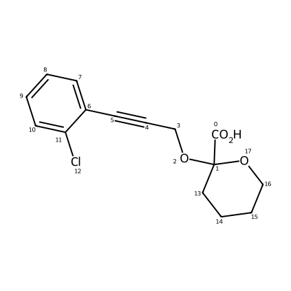 O=C(O)C1(OCC#Cc2ccccc2Cl)CCCCO1